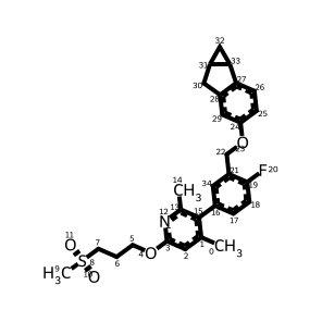 Cc1cc(OCCCS(C)(=O)=O)nc(C)c1-c1ccc(F)c(COc2ccc3c(c2)CC2CC32)c1